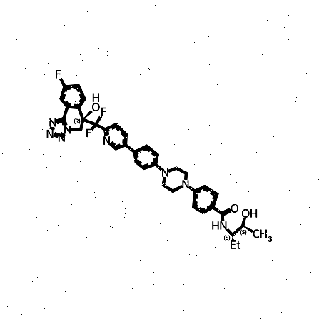 CC[C@H](NC(=O)c1ccc(N2CCN(c3ccc(-c4ccc(C(F)(F)[C@]5(O)Cn6nnnc6-c6cc(F)ccc65)nc4)cc3)CC2)cc1)[C@H](C)O